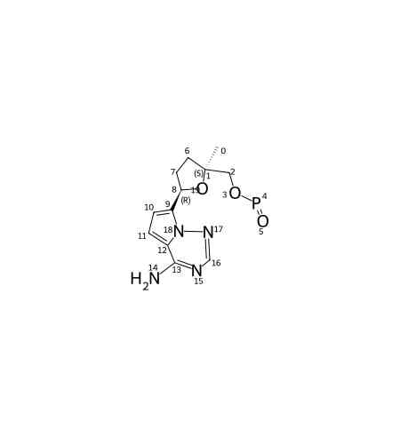 C[C@@]1(COP=O)CC[C@H](c2ccc3c(N)ncnn23)O1